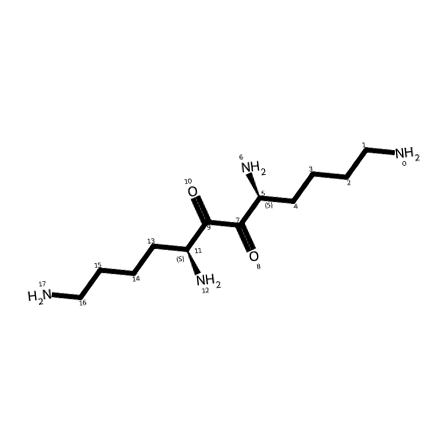 NCCCC[C@H](N)C(=O)C(=O)[C@@H](N)CCCCN